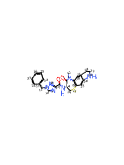 CN1C(=O)[C@@H](NC(=O)c2ncn(Cc3ccccc3)n2)CSc2cc3c(cc21)CCN3